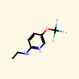 CCNc1ccc(OC(F)(F)F)cn1